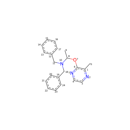 Cc1nccnc1OC(C)N(Cc1ccccc1)Cc1ccccc1